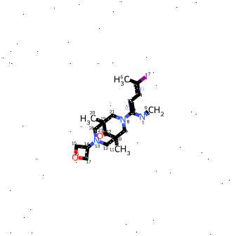 C=N/C(=C\C=C(/C)I)N1CC2(C)CN(C3COC3)CC(C)(C1)C2=O